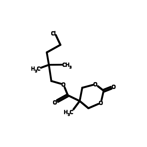 CC(C)(CCCl)COC(=O)C1(C)COC(=O)OC1